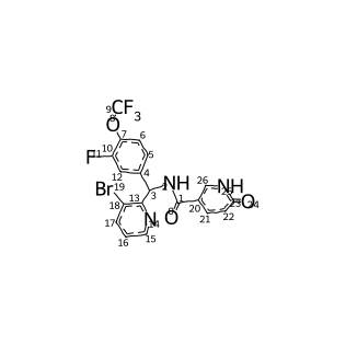 O=C(NC(c1ccc(OC(F)(F)F)c(F)c1)c1ncccc1Br)c1ccc(=O)[nH]c1